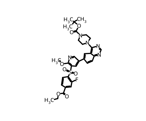 CCOC(=O)c1ccc(S(=O)(=O)c2cc(-c3ccc4ncnc(N5CCN(C(=O)OC(C)(C)C)CC5)c4c3)cnc2OC)c(F)c1